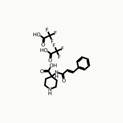 O=C(C=Cc1ccccc1)NC1(C(=O)O)CCNCC1.O=C(O)C(F)(F)F.O=C(O)C(F)(F)F